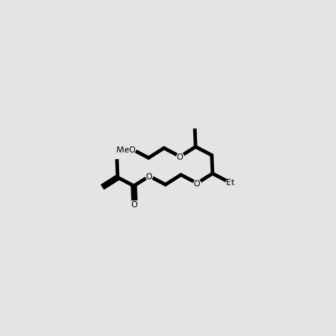 C=C(C)C(=O)OCCOC(CC)CC(C)OCCOC